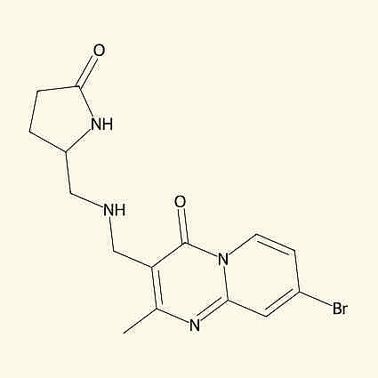 Cc1nc2cc(Br)ccn2c(=O)c1CNCC1CCC(=O)N1